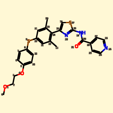 COCCOc1ccc(Sc2cc(C)c(-c3csc(NC(=O)c4ccncc4)n3)c(C)c2)cc1